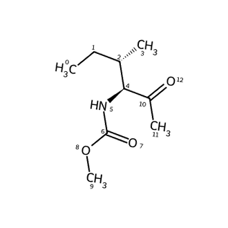 CC[C@H](C)[C@H](NC(=O)OC)C(C)=O